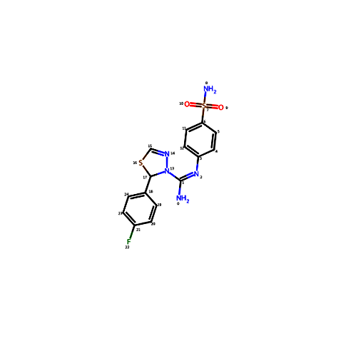 NC(=Nc1ccc(S(N)(=O)=O)cc1)N1N=[C]SC1c1ccc(F)cc1